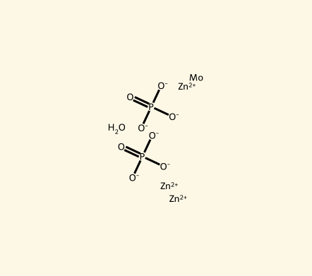 O.O=P([O-])([O-])[O-].O=P([O-])([O-])[O-].[Mo].[Zn+2].[Zn+2].[Zn+2]